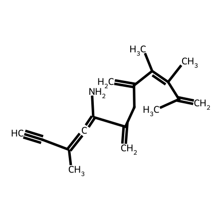 C#CC(C)=C=C(N)C(=C)CC(=C)/C(C)=C(/C)C(=C)C